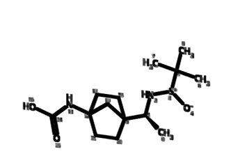 C[C@H](N[S+]([O-])C(C)(C)C)C12CCC(NC(=O)O)(CC1)C2